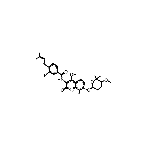 COC1CCC(Oc2ccc3c(O)c(NC(=O)c4ccc(CC=C(C)C)c(F)c4)c(=O)oc3c2C)OC1(C)C